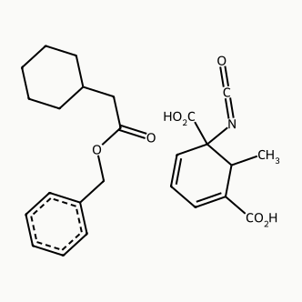 CC1C(C(=O)O)=CC=CC1(N=C=O)C(=O)O.O=C(CC1CCCCC1)OCc1ccccc1